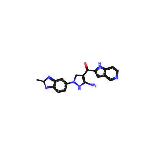 CC1N=c2ccc(N3CC(C(=O)c4cc5cnccc5[nH]4)=C(N)N3)cc2=N1